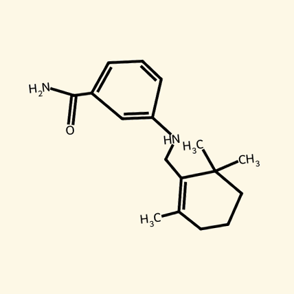 CC1=C(CNc2cccc(C(N)=O)c2)C(C)(C)CCC1